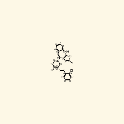 Cc1cc2c(s1)Nc1ccccc1N=C2N1CCN(C)[C@@H](CCc2ccccc2Cl)C1